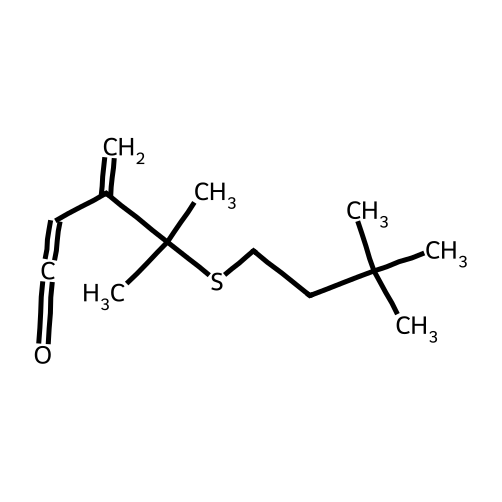 C=C(C=C=O)C(C)(C)SCCC(C)(C)C